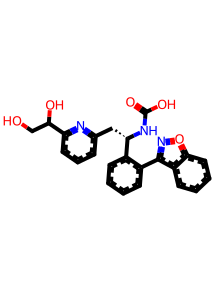 O=C(O)N[C@@H](Cc1cccc(C(O)CO)n1)c1ccccc1-c1noc2ccccc12